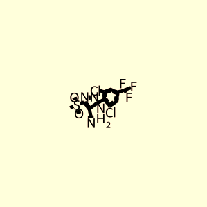 CS(=O)(=O)C1=C(C#N)C(N)(c2c(Cl)cc(C(F)(F)F)cc2Cl)N=N1